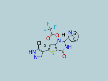 Cc1[nH]ncc1-c1cc2c(s1)C(=O)NC([C@@H]1CC3CCN1CC3)N2OC(=O)C(F)(F)F